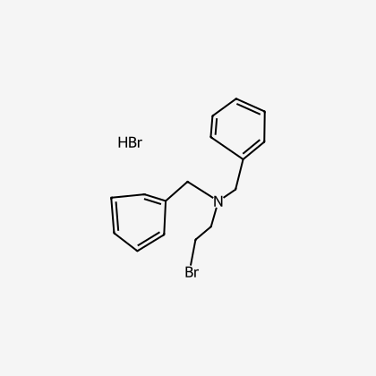 Br.BrCCN(Cc1ccccc1)Cc1ccccc1